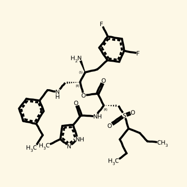 CCCC(CCC)S(=O)(=O)C[C@H](NC(=O)c1cc(C)n[nH]1)C(=O)O[C@H](CNCc1cccc(CC)c1)[C@@H](N)Cc1cc(F)cc(F)c1